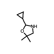 CC1(C)CNC(C2CC2)O1